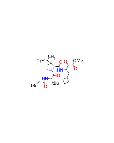 COC(=O)C(=O)C(CC1CCC1)NC(=O)[C@@H]1C2C(CN1C(=O)[C@@H](NC(=O)CC(C)(C)C)C(C)(C)C)C2(C)C